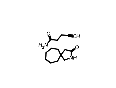 C#CCCC(N)=O.O=C1CC2(CCCCCC2)CN1